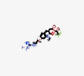 CCN1C(=O)C(CC(=O)OC(=O)C(F)(F)F)Cc2ccc(OCCCNC(=N)N)cc21